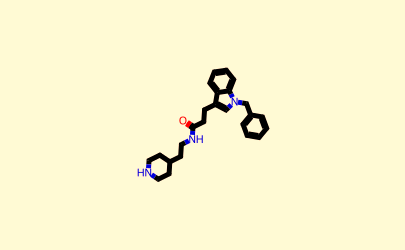 O=C(CCc1cn(Cc2ccccc2)c2ccccc12)NCCC1CCNCC1